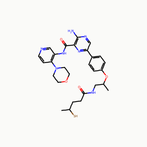 CC(S)CCC(=O)NCC(C)Oc1ccc(-c2cnc(N)c(C(=O)Nc3cnccc3N3CCOCC3)n2)cc1